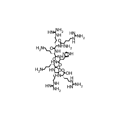 N=C(N)NCCC[C@H](NC(=O)[C@H](CCCNC(=N)N)NC(=O)[C@H](CCCCN)NC(=O)[C@H](Cc1c[nH]cn1)NC(=O)[C@H](CCCCN)NC(=O)[C@H](CCCNC(=N)N)NC(=O)[C@@H](N)CCCNC(=N)N)C(=O)O